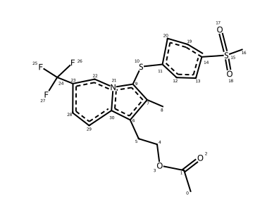 CC(=O)OCCc1c(C)c(Sc2ccc(S(C)(=O)=O)cc2)n2cc(C(F)(F)F)ccc12